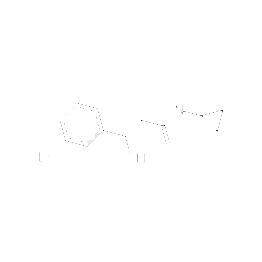 CC(=CC(=O)NC1CC1)c1cccc(Br)c1